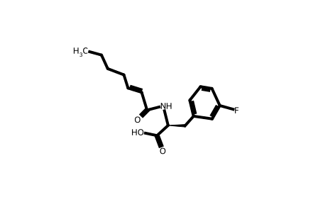 CCCC/C=C/C(=O)N[C@@H](Cc1cccc(F)c1)C(=O)O